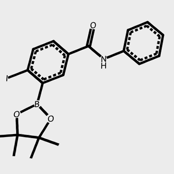 CC1(C)OB(c2cc(C(=O)Nc3ccccc3)ccc2I)OC1(C)C